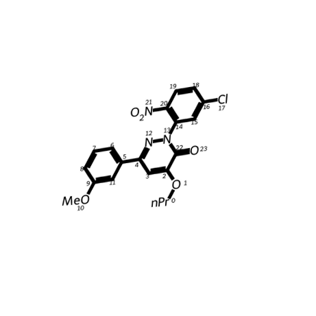 CCCOc1cc(-c2cccc(OC)c2)nn(-c2cc(Cl)ccc2[N+](=O)[O-])c1=O